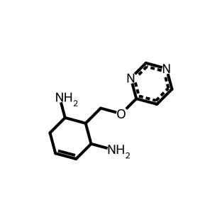 NC1C=CCC(N)C1COc1ccncn1